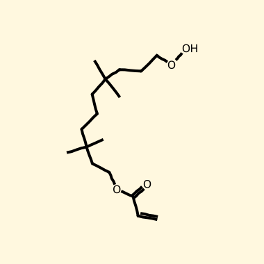 C=CC(=O)OCCC(C)(C)CCCC(C)(C)CCCOO